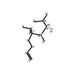 C=CCC/C(=C\C)N(C)[C@@H](C)C(C)C